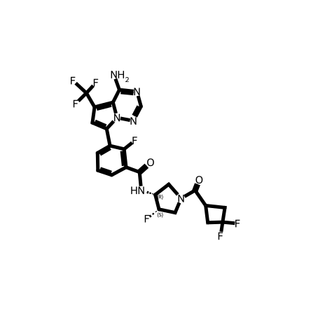 Nc1ncnn2c(-c3cccc(C(=O)N[C@@H]4CN(C(=O)C5CC(F)(F)C5)C[C@@H]4F)c3F)cc(C(F)(F)F)c12